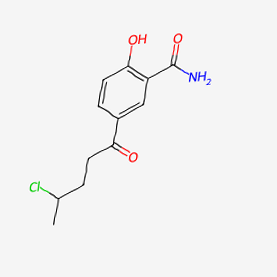 CC(Cl)CCC(=O)c1ccc(O)c(C(N)=O)c1